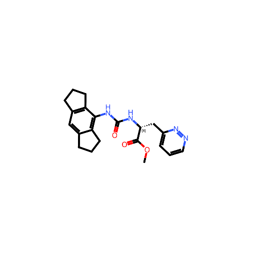 COC(=O)[C@@H](Cc1cccnn1)NC(=O)Nc1c2c(cc3c1CCC3)CCC2